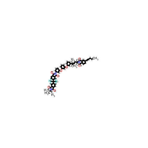 CCCC#Cc1ccc2c(c1)C(=O)N(C(C)(C)CCC(C)(C)c1cccc(Oc3cccc(Oc4cccc(N5C(=O)c6ccc(C(c7ccc8c(c7)C(=O)N(C(C)(C)C)C8=O)(C(F)(F)F)C(F)(F)F)cc6C5=O)c4)c3)c1)C2=O